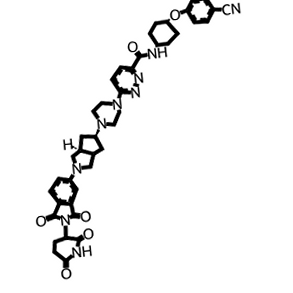 N#Cc1ccc(O[C@H]2CC[C@@H](NC(=O)c3ccc(N4CCN([C@H]5CC6CN(c7ccc8c(c7)C(=O)N(C7CCC(=O)NC7=O)C8=O)C[C@H]6C5)CC4)nn3)CC2)cc1Cl